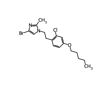 CCCCCOc1ccc(CCn2cc(Br)nc2C)c(Cl)c1